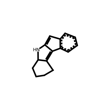 C1=C2NC3CCCCC3=C2c2ccccc21